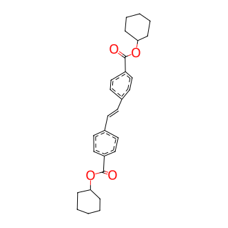 O=C(OC1CCCCC1)c1ccc(/C=C/c2ccc(C(=O)OC3CCCCC3)cc2)cc1